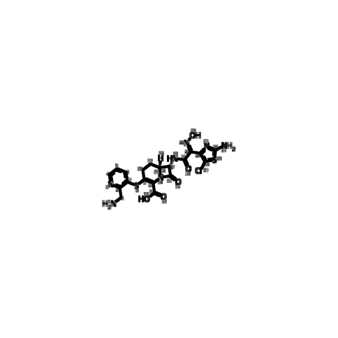 NCc1ncccc1SC1=C(C(=O)O)N2C(=O)[C@@H](NC(=O)C(=NO)c3nc(N)sc3Cl)[C@H]2CC1